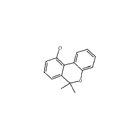 CC1(C)Oc2ccccc2-c2c(Cl)cccc21